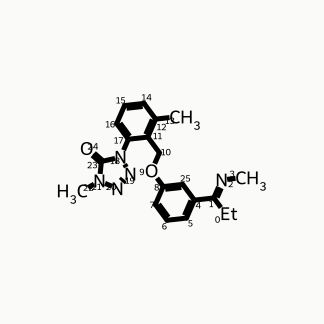 CCC(=NC)c1cccc(OCc2c(C)cccc2-n2nnn(C)c2=O)c1